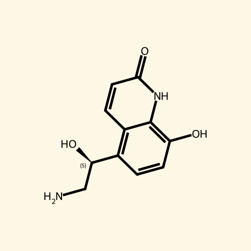 NC[C@@H](O)c1ccc(O)c2[nH]c(=O)ccc12